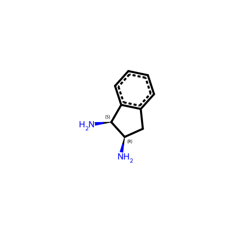 N[C@@H]1Cc2ccccc2[C@@H]1N